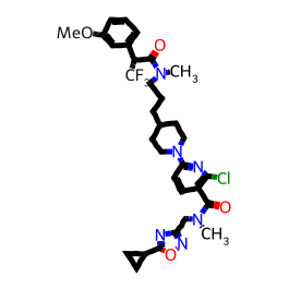 COc1cccc(C(C(=O)N(C)CCCC2CCN(c3ccc(C(=O)N(C)Cc4noc(C5CC5)n4)c(Cl)n3)CC2)C(F)(F)F)c1